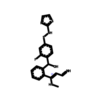 CN/C(=C\C=N)c1ccccc1C(O)c1ccc(SNc2nccs2)cc1F